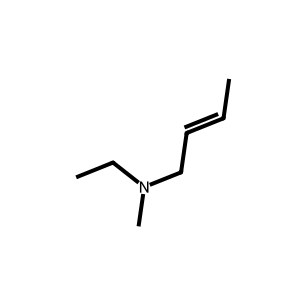 CC=CCN(C)CC